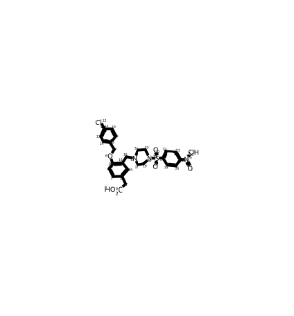 O=C(O)Cc1ccc(OCc2ccc(Cl)cc2)c(CN2CCN(S(=O)(=O)c3ccc([N+](=O)O)cc3)CC2)c1